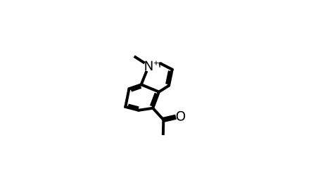 CC(=O)c1cccc2c1ccc[n+]2C